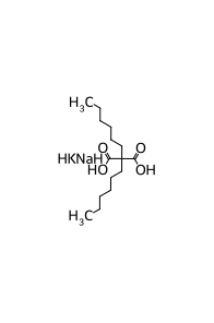 CCCCCCC(CCCCCC)(C(=O)O)C(=O)O.[KH].[NaH]